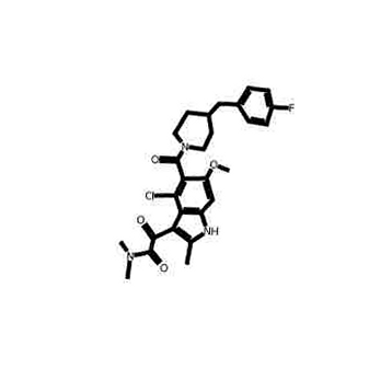 COc1cc2[nH]c(C)c(C(=O)C(=O)N(C)C)c2c(Cl)c1C(=O)N1CCC(Cc2ccc(F)cc2)CC1